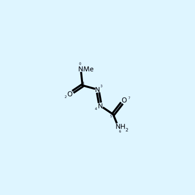 CNC(=O)/N=N/C(N)=O